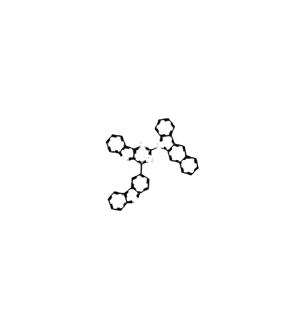 c1ccc2cc3c(cc2c1)c1ccccc1n3-c1nc(-c2ccc3oc4ccccc4c3c2)c2oc3ccccc3c2n1